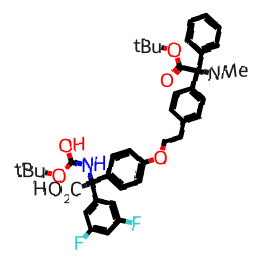 CNC(C(=O)OC(C)(C)C)(c1ccccc1)c1ccc(CCOc2ccc(C(NC(O)OC(C)(C)C)(C(=O)O)c3cc(F)cc(F)c3)cc2)cc1